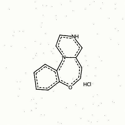 Cl.c1ccc2c(c1)occc1c[nH]ccn2-1